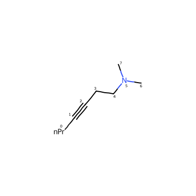 CCCC#CCCN(C)C